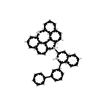 c1ccc(-c2cccc(-c3nc(-n4c5ccc6cccc7sc8cccc9ccc4c(c98)c5c67)cc4ccccc34)c2)cc1